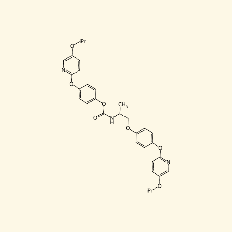 CC(COc1ccc(Oc2ccc(OC(C)C)cn2)cc1)NC(=O)Oc1ccc(Oc2ccc(OC(C)C)cn2)cc1